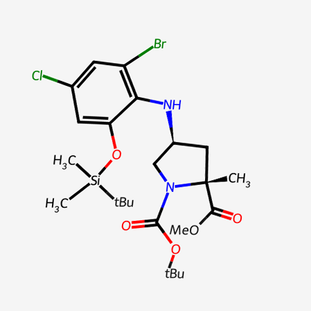 COC(=O)[C@@]1(C)C[C@H](Nc2c(Br)cc(Cl)cc2O[Si](C)(C)C(C)(C)C)CN1C(=O)OC(C)(C)C